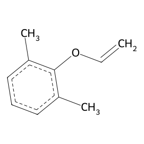 C=COc1c(C)cccc1C